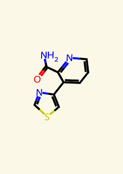 NC(=O)c1ncccc1-c1cscn1